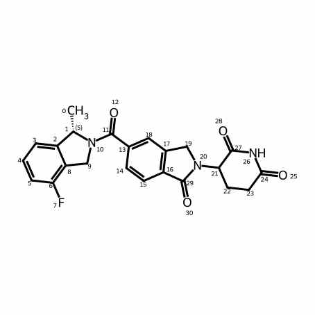 C[C@H]1c2cccc(F)c2CN1C(=O)c1ccc2c(c1)CN(C1CCC(=O)NC1=O)C2=O